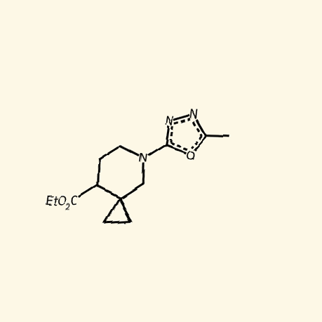 CCOC(=O)C1CCN(c2nnc(C)o2)CC12CC2